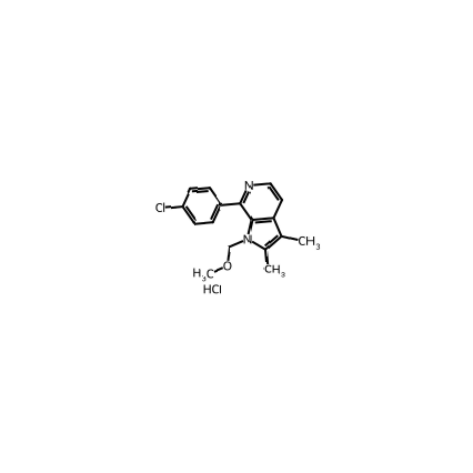 COCn1c(C)c(C)c2ccnc(-c3ccc(Cl)cc3)c21.Cl